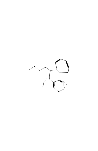 CCCCC([C@H]1C=CC=CCC1)[C@@H](CC)C1=CCCN=C1